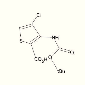 CC(C)(C)OC(=O)Nc1c(Cl)csc1C(=O)O